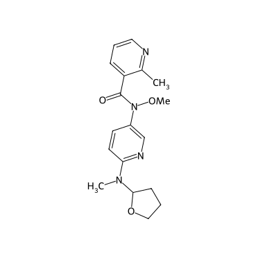 CON(C(=O)c1cccnc1C)c1ccc(N(C)C2CCCO2)nc1